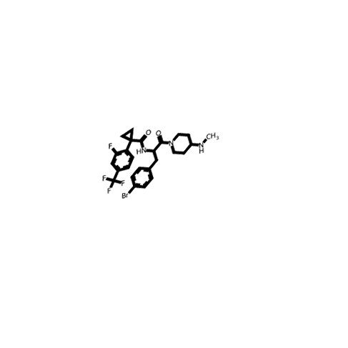 CNC1CCN(C(=O)C(Cc2ccc(Br)cc2)NC(=O)C2(c3ccc(C(F)(F)F)cc3F)CC2)CC1